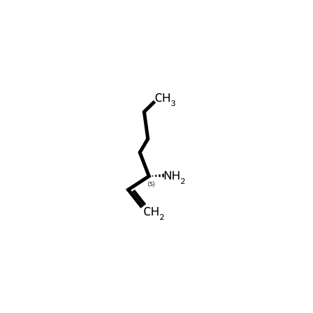 C=C[C@@H](N)CCCC